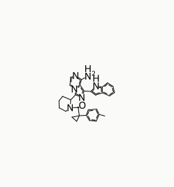 Cc1ccc(C2(C(=O)N3CCCCC3c3nc(-c4cc5ccccc5[nH]4)c4c(N)nccn34)CC2)cc1